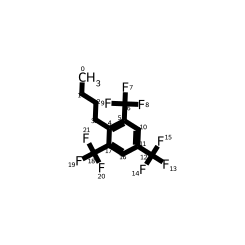 CCC[CH]c1c(C(F)(F)F)cc(C(F)(F)F)cc1C(F)(F)F